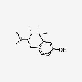 C[C@H]1[C@H](N(C)C)Cc2ccc(O)cc2C1(C)C